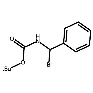 CC(C)(C)OC(=O)NC(Br)c1ccccc1